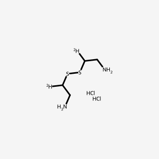 Cl.Cl.[2H]C(CN)SSC([2H])CN